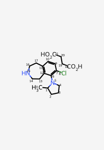 CC1CCCN1c1c(Cl)ccc2c1CCNCC2.O=C(O)CCC(=O)O